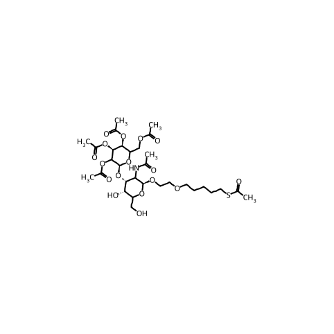 CC(=O)NC1[C@@H](OCCOCCCCCSC(C)=O)OC(CO)[C@H](O)[C@@H]1O[C@@H]1OC(COC(C)=O)[C@H](OC(C)=O)[C@H](OC(C)=O)C1OC(C)=O